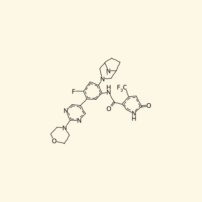 CN1C2CCC1CN(c1cc(F)c(-c3cnc(N4CCOCC4)nc3)cc1NC(=O)c1c[nH]c(=O)cc1C(F)(F)F)C2